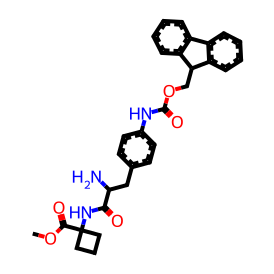 COC(=O)C1(NC(=O)C(N)Cc2ccc(NC(=O)OCC3c4ccccc4-c4ccccc43)cc2)CCC1